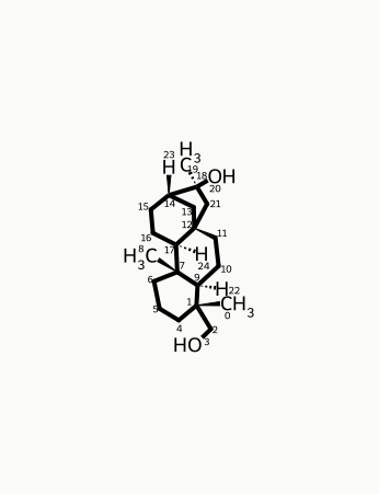 C[C@@]1(CO)CCC[C@@]2(C)[C@H]1CC[C@]13C[C@H](CC[C@@H]12)[C@@](C)(O)C3